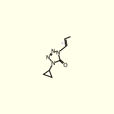 C/C=C/n1nnn(C2CC2)c1=O